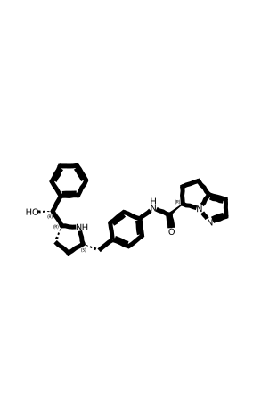 O=C(Nc1ccc(C[C@@H]2CC[C@H]([C@H](O)c3ccccc3)N2)cc1)[C@H]1CCc2ccnn21